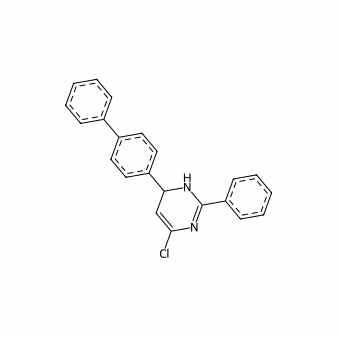 ClC1=CC(c2ccc(-c3ccccc3)cc2)NC(c2ccccc2)=N1